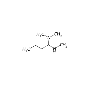 CCCC(NC)N(C)C